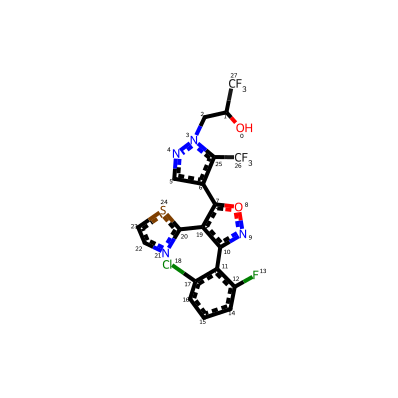 OC(Cn1ncc(-c2onc(-c3c(F)cccc3Cl)c2-c2nccs2)c1C(F)(F)F)C(F)(F)F